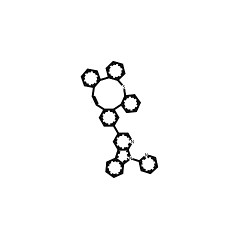 C1=C\c2ccc(-c3cnc4c(c3)c3ccccc3n4-c3ccccn3)cc2-c2ccccc2Sc2ccccc2-c2ccccc2/1